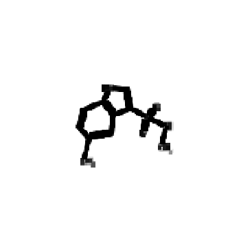 CNS(=O)(=O)c1c[nH]c2ccc(C)cc12